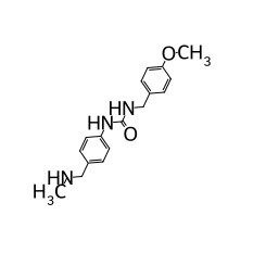 CNCc1ccc(NC(=O)NCc2ccc(OC)cc2)cc1